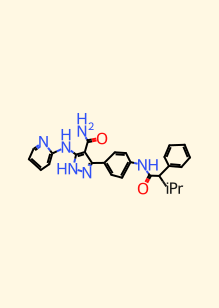 CC(C)C(C(=O)Nc1ccc(-c2n[nH]c(Nc3ccccn3)c2C(N)=O)cc1)c1ccccc1